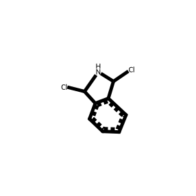 ClC1NC(Cl)c2ccccc21